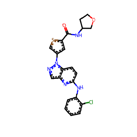 O=C(NC1CCOC1)c1cc(-n2ncc3nc(Nc4ccccc4Cl)ccc32)cs1